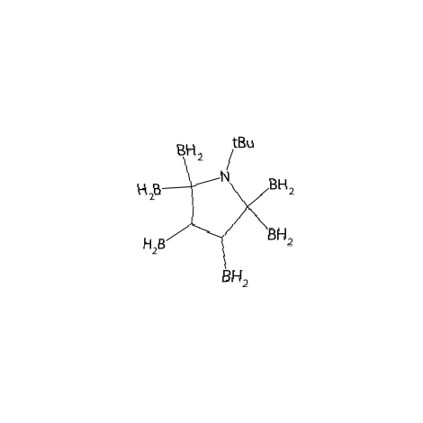 BC1C(B)C(B)(B)N(C(C)(C)C)C1(B)B